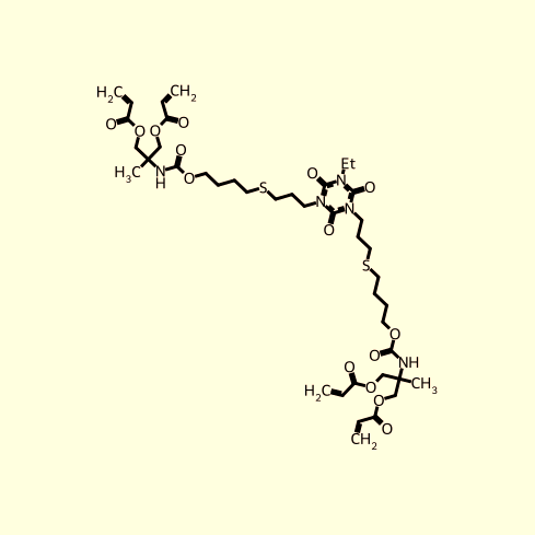 C=CC(=O)OCC(C)(COC(=O)C=C)NC(=O)OCCCCSCCCn1c(=O)n(CC)c(=O)n(CCCSCCCCOC(=O)NC(C)(COC(=O)C=C)COC(=O)C=C)c1=O